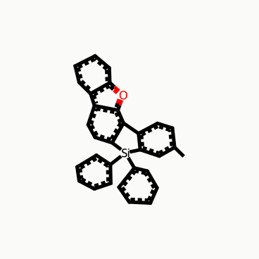 Cc1ccc2c(c1)[Si](c1ccccc1)(c1ccccc1)c1ccc3c(oc4ccccc43)c1-2